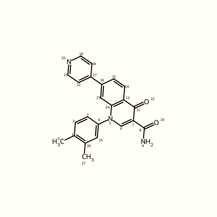 Cc1ccc(-n2cc(C(N)=O)c(=O)c3ccc(-c4ccncc4)cc32)cc1C